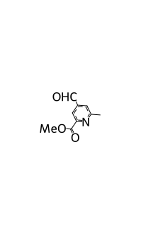 COC(=O)c1cc(C=O)cc(C)n1